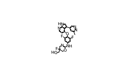 Cc1cc(-c2c[nH]c3nccc(Oc4c(F)cc(NC5=NC[C@@](F)(CO)CO5)cc4F)c23)cnn1